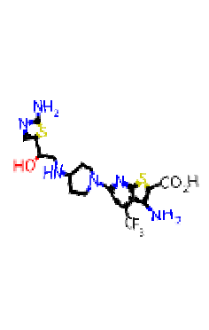 Nc1ncc(C(O)CNC2CCN(c3cc(C(F)(F)F)c4c(N)c(C(=O)O)sc4n3)CC2)s1